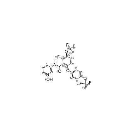 O=C(Nc1ccc[n+](O)c1)c1c(Oc2ccc(OC(F)(F)F)cc2)ccc(OC(F)(F)F)c1F